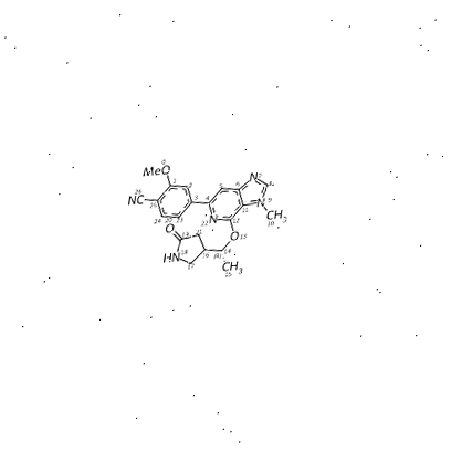 COc1cc(-c2cc3ncn(C)c3c(O[C@H](C)C3CNC(=O)C3)n2)ccc1C#N